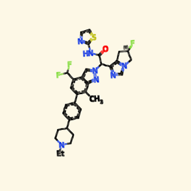 CCN1CCC(c2ccc(-c3cc(C(F)F)c4cn(C(C(=O)Nc5nccs5)c5ncn6c5C[C@@H](F)C6)nc4c3C)cc2)CC1